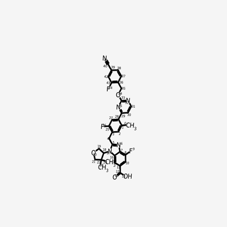 Cc1cc(Cc2nc3c(F)cc(C(=O)O)cc3n2C2COCC2(C)C)c(F)cc1-c1ccnc(OCc2ccc(C#N)cc2F)n1